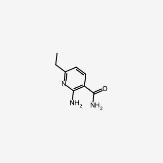 CCc1ccc(C(N)=O)c(N)n1